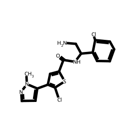 Cn1nccc1-c1cc(C(=O)NC(CN)c2ccccc2Cl)sc1Cl